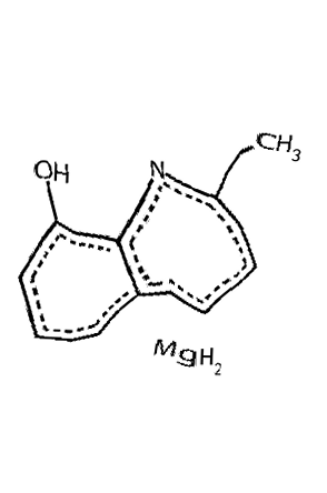 Cc1ccc2cccc(O)c2n1.[MgH2]